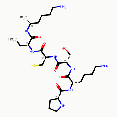 NCCCC[C@H](NC(=O)[C@H](CC(=O)O)NC(=O)[C@H](CS)NC(=O)[C@H](CO)NC(=O)[C@H](CCCCN)NC(=O)[C@@H]1CCCN1)C(=O)O